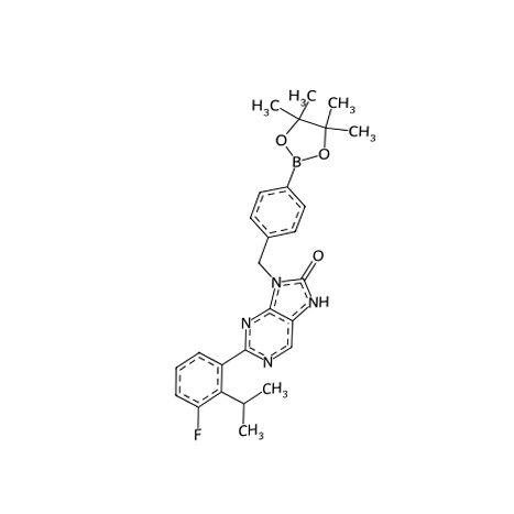 CC(C)c1c(F)cccc1-c1ncc2[nH]c(=O)n(Cc3ccc(B4OC(C)(C)C(C)(C)O4)cc3)c2n1